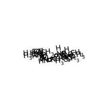 CC(C)[C@@H](NC(=O)OC(C)(C)C)C(=O)N1CCC[C@H]1C(=O)Nc1ccc(-c2cc3cc(NC(=O)[C@@H]4CCCN4C(=O)[C@H](NC(=O)OC(C)(C)C)C(C)C)ccc3[nH]2)cc1